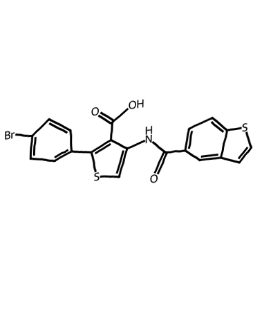 O=C(Nc1csc(-c2ccc(Br)cc2)c1C(=O)O)c1ccc2sccc2c1